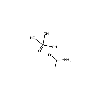 CCC(C)N.O=P(O)(O)O